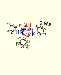 COc1cccc(CNC[C@@H](O)[C@H](Cc2ccccc2)NC(=O)c2cc(F)cc(F)c2)c1